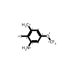 Cc1cc(OC(F)(F)F)cc(N)c1I